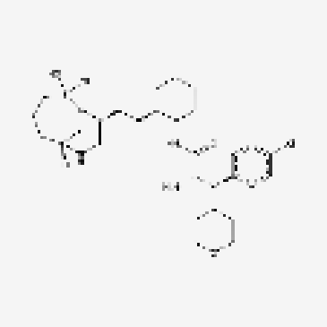 N[C@H](C(=O)N[C@H]1CCCC[C@@H]1CC[C@H]1CN[C@@H]2CCCS(O)(O)N1C2)[C@@H](c1ccc(Cl)cc1)C1CCOCC1